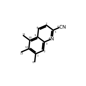 Cc1cc2nc(C#N)ccc2c(C)c1C